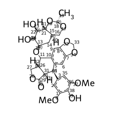 COc1cc([C@@H]2c3cc4c(cc3C(O[C@@H]3C[C@@H]5CO[C@@H](C)O[C@H]5[C@H](O)[C@H]3O)[C@H]3COC(=O)[C@H]23)OCO4)cc(OC)c1O